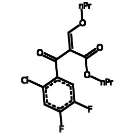 CCCOC=C(C(=O)OCCC)C(=O)c1cc(F)c(F)cc1Cl